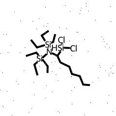 CCCCCCC(N([Si](CC)(CC)CC)[Si](CC)(CC)CC)[SiH](Cl)Cl